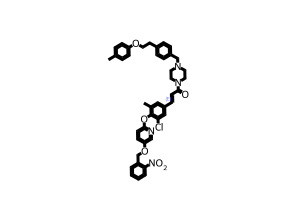 Cc1ccc(OCCc2ccc(CN3CCN(C(=O)/C=C/c4cc(C)c(Oc5ccc(OCc6ccccc6[N+](=O)[O-])cn5)c(Cl)c4)CC3)cc2)cc1